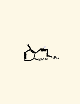 CNC1CC=CC(C)=C1/C=C\CC(C)(C)C